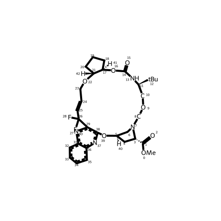 COC(=O)[C@@H]1C[C@@H]2CN1COC[C@H](C(C)(C)C)NC(=O)O[C@@H]1CCC[C@H]1OC/C=C/C(F)(F)c1nc3ccccc3nc1O2